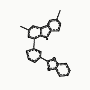 Cc1ccc2sc3c(-c4cccc(-c5nc6ccccc6o5)c4)cc(C)cc3c2c1